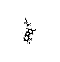 CCNC(=O)Oc1cc(F)cc2c1[nH]c1ncc(Cl)c(Cl)c12